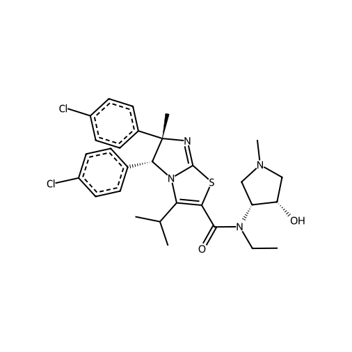 CCN(C(=O)C1=C(C(C)C)N2C(=N[C@@](C)(c3ccc(Cl)cc3)[C@H]2c2ccc(Cl)cc2)S1)[C@@H]1CN(C)C[C@@H]1O